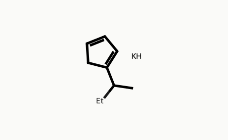 CCC(C)C1=CC=CC1.[KH]